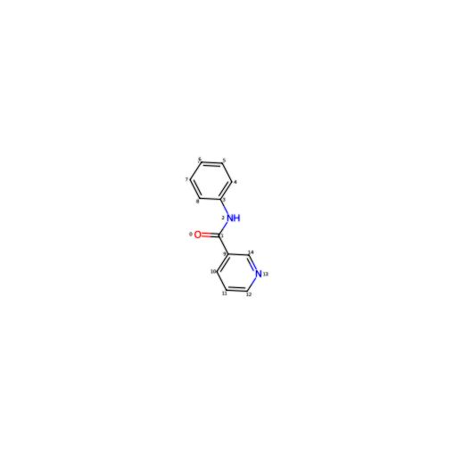 O=C(Nc1cc[c]cc1)c1cccnc1